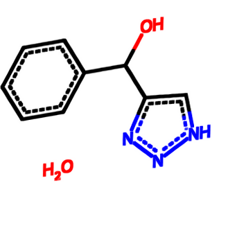 O.OC(c1ccccc1)c1c[nH]nn1